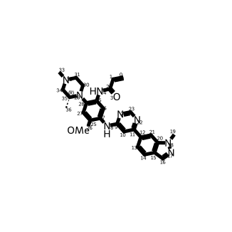 C=CC(=O)Nc1cc(Nc2cc(-c3ccc4cnn(C)c4c3)ncn2)c(OC)cc1N1CCN(C)C[C@H]1C